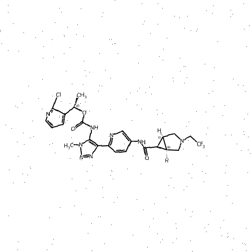 C[C@@H](OC(=O)Nc1c(-c2ccc(NC(=O)C3[C@H]4CN(CC(F)(F)F)C[C@@H]34)cn2)nnn1C)c1cccnc1Cl